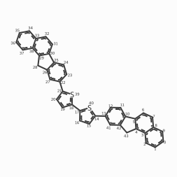 c1ccc2c3c(ccc2c1)-c1ccc(-c2ccc(-c4ccc(-c5ccc6c(c5)Cc5c-6ccc6ccccc56)s4)s2)cc1C3